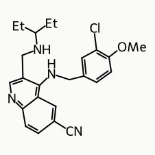 CCC(CC)NCc1cnc2ccc(C#N)cc2c1NCc1ccc(OC)c(Cl)c1